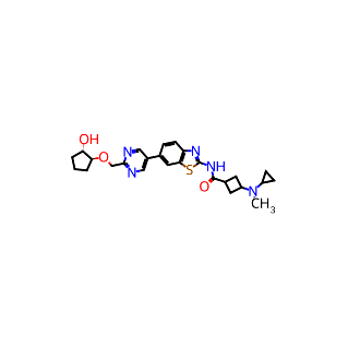 CN(C1CC1)C1CC(C(=O)Nc2nc3ccc(-c4cnc(CO[C@H]5CCC[C@@H]5O)nc4)cc3s2)C1